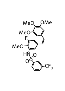 COc1cc(/C=C\c2cc(F)c(OC)c(NS(=O)(=O)c3cccc(C(F)(F)F)c3)c2)cc(OC)c1OC